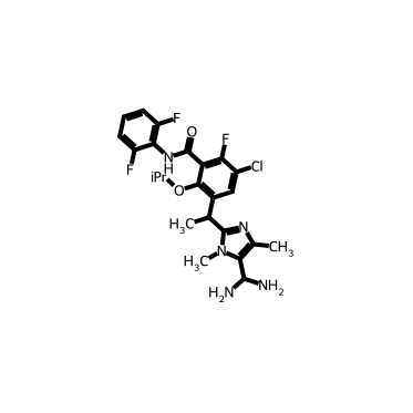 Cc1nc(C(C)c2cc(Cl)c(F)c(C(=O)Nc3c(F)cccc3F)c2OC(C)C)n(C)c1C(N)N